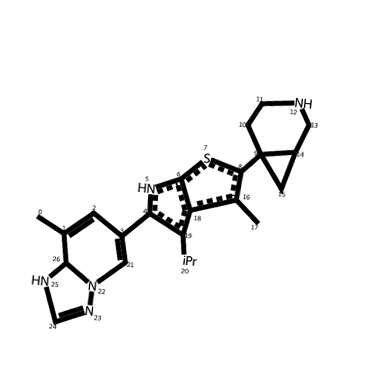 CC1=CC(c2[nH]c3sc(C45CCNCC4C5)c(C)c3c2C(C)C)=CN2N=CNC12